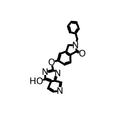 O=C1c2ccc(Oc3nc(O)c4ccncc4n3)cc2CN1Cc1ccccc1